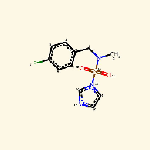 CN(Cc1ccc(F)cc1)S(=O)(=O)n1ccnc1